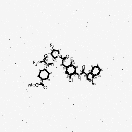 COC(=O)[C@H]1CC[C@H](N(C[C@@H]2C[C@H](F)CN2C(=O)Cc2cc(Cl)c(NC(=O)c3cn(C)c4ccccc34)cc2F)C(=O)C(F)(F)F)CC1